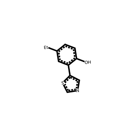 CCc1ccc(O)c(-c2cncs2)c1